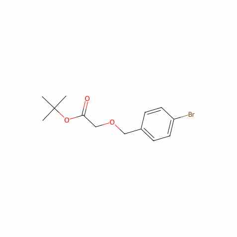 CC(C)(C)OC(=O)COCc1ccc(Br)cc1